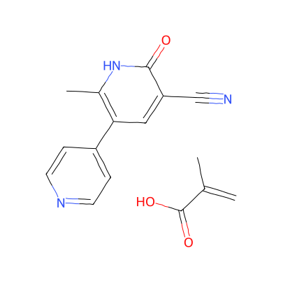 C=C(C)C(=O)O.Cc1[nH]c(=O)c(C#N)cc1-c1ccncc1